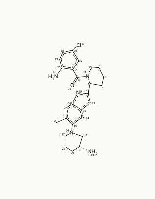 Cc1cn2nc([C@@H]3CCCCN3C(=O)c3cc(Cl)ccc3N)cc2nc1N1CCC[C@@H](N)C1